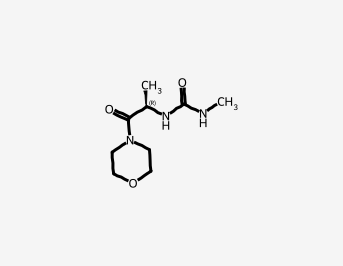 CNC(=O)N[C@H](C)C(=O)N1CCOCC1